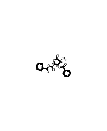 C[C@]1(F)C(Cl)O[C@@H](C(Cl)OC(=O)c2ccccc2)[C@H]1OC(=O)c1ccccc1